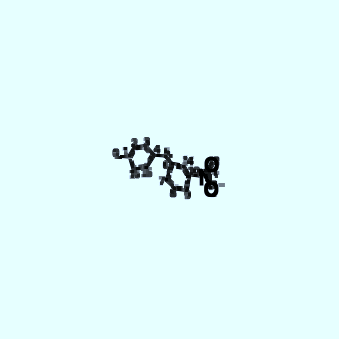 Cc1ccc([CH]c2cccc([N+](=O)[O-])c2)cc1